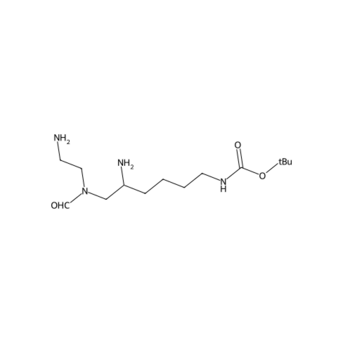 CC(C)(C)OC(=O)NCCCCC(N)CN(C=O)CCN